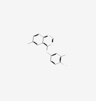 Oc1ccc(Nc2ncnc3ccc(I)cc23)cc1Cl